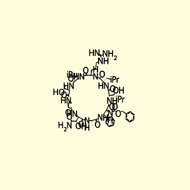 CC[C@H](C)[C@@H]1NC(=O)[C@@H](CCCNC(=N)N)NC(=O)[C@H](CC(C)C)NC(=O)[C@H]([C@H](O)C(C)C)NC(=O)[C@@H](NC(=O)OCc2ccccc2)[C@@H](c2ccccc2)NC(=O)[C@H](C)NC(=O)C([C@H](O)C(N)=O)NC(=O)CNC(=O)[C@H]([C@H](C)O)NC1=O